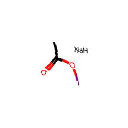 CC(=O)OI.[NaH]